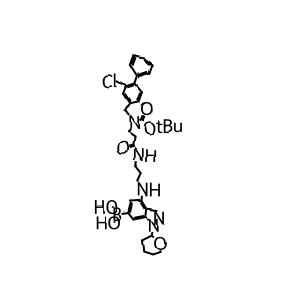 CC(C)(C)OC(=O)N(CCC(=O)NCCCNc1cc(B(O)O)cc2c1cnn2C1CCCCO1)Cc1ccc(-c2ccccc2)c(Cl)c1